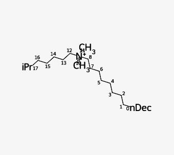 CCCCCCCCCCCCCCCCCC[N+](C)(C)CCCCCC(C)C